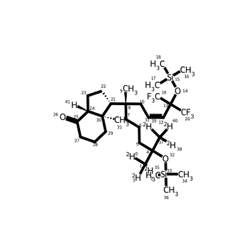 [2H]C([2H])([2H])C(CCC[C@@](C)(C/C=C\C(O[Si](C)(C)C)(C(F)(F)F)C(F)(F)F)[C@H]1CC[C@H]2C(=O)CCC[C@]12C)(O[Si](C)(C)C)C([2H])([2H])[2H]